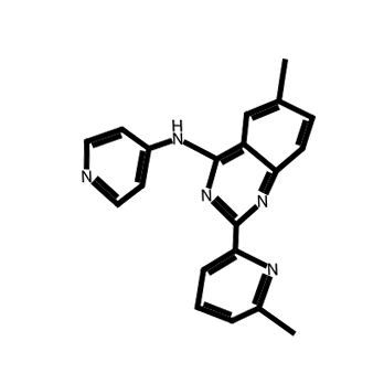 Cc1ccc2nc(-c3cccc(C)n3)nc(Nc3ccncc3)c2c1